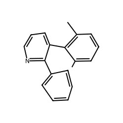 Cc1cccc(C)c1-c1cccnc1-c1ccccc1